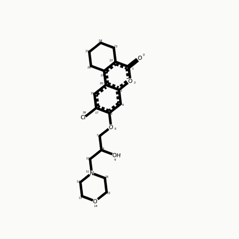 O=c1oc2cc(OCC(O)CN3CCOCC3)c(Cl)cc2c2c1CCCC2